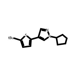 CC(C)(C)c1ccc(-c2cnn(C3CCCC3)c2)s1